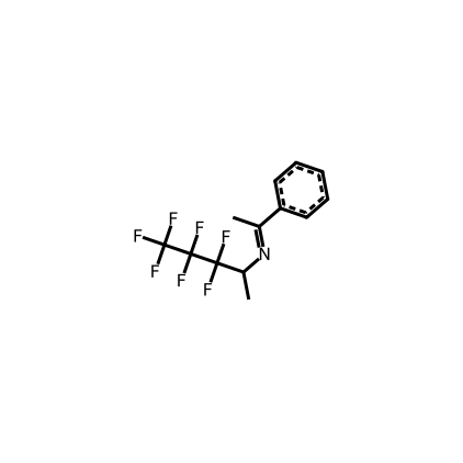 CC(=NC(C)C(F)(F)C(F)(F)C(F)(F)F)c1ccccc1